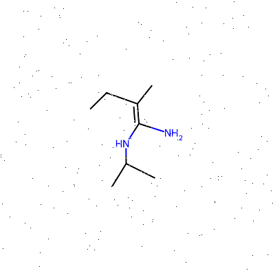 CCC(C)=C(N)NC(C)C